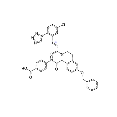 O=C(O)c1ccc(NC(=O)C2c3ccc(OCc4ccccc4)cc3CCN2C(=O)/C=C/c2cc(Cl)ccc2-n2cnnn2)cc1